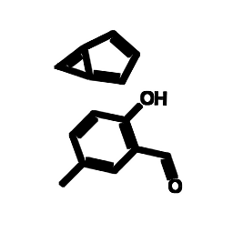 Cc1ccc(O)c(C=O)c1.c1cc2cc-2c1